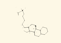 C[C@H](CCCC(O)(C(=O)O)C(O)O)[C@H]1CC[C@H]2[C@@H]3CCC4CCCC[C@]4(C)[C@H]3CC[C@]12C